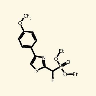 CCOP(=O)(OCC)C(F)c1nc(-c2ccc(OC(F)(F)F)cc2)cs1